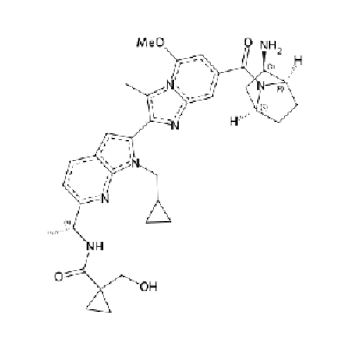 COc1cc(C(=O)N2[C@H]3CC[C@@H]2[C@H](N)C3)cc2nc(-c3cc4ccc([C@@H](C)NC(=O)C5(CO)CC5)nc4n3CC3CC3)c(C)n12